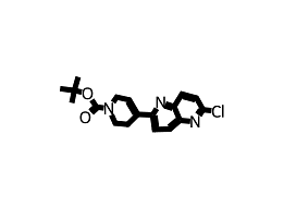 CC(C)(C)OC(=O)N1CC=C(c2ccc3nc(Cl)ccc3n2)CC1